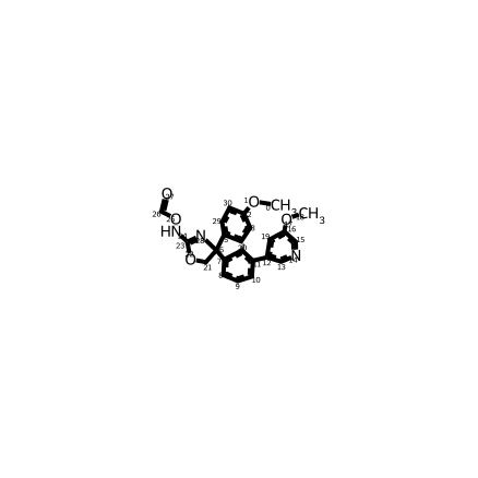 COc1ccc(C2(c3cccc(-c4cncc(OC)c4)c3)COC(NOC=O)=N2)cc1